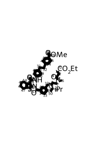 CCOC(=O)CCC(=O)N(C)CCN(Cc1cccc(C(=O)Nc2sc3c(c2C(=O)Nc2ccc(CCc4ccc(C(=O)OC)cc4)cc2)CCCC3)c1)[C@@H](C)C(C)C